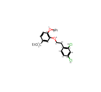 CCOC(=O)c1ccc(OC(C)C)c(OCCc2ccc(Cl)cc2Cl)c1